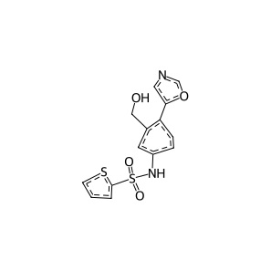 O=S(=O)(Nc1ccc(-c2cnco2)c(CO)c1)c1cccs1